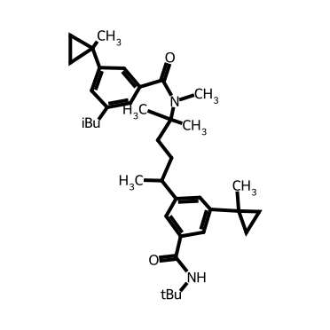 CCC(C)c1cc(C(=O)N(C)C(C)(C)CCC(C)c2cc(C(=O)NC(C)(C)C)cc(C3(C)CC3)c2)cc(C2(C)CC2)c1